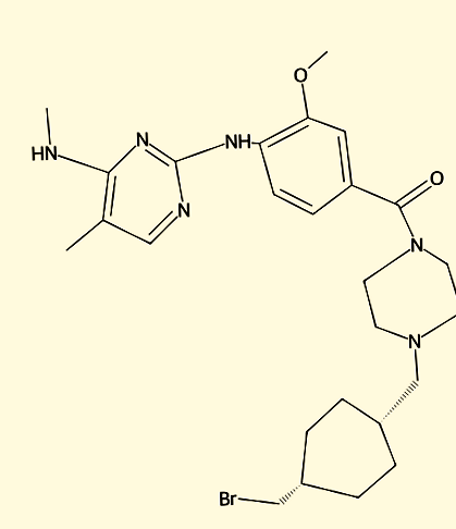 CNc1nc(Nc2ccc(C(=O)N3CCN(C[C@H]4CC[C@@H](CBr)CC4)CC3)cc2OC)ncc1C